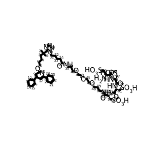 CC(C)(CCCCOc1cc(-c2ccccc2)cc(-c2ccccc2)n1)c1nnnn1CCCCC(=O)NCCCOCCOCCOCCCNC(=O)[C@H](CS(=O)(=O)O)NC(=O)[C@H](CS(=O)(=O)O)NC(=O)[C@H](CS(=O)(=O)O)NC(=O)[C@@H](N)CS(=O)(=O)O